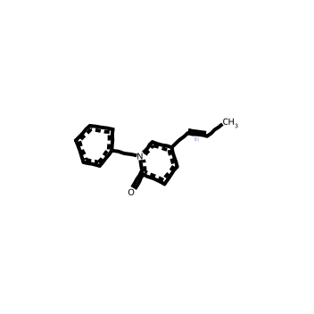 C/C=C/c1ccc(=O)n(-c2ccccc2)c1